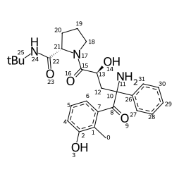 Cc1c(O)cccc1C(=O)C(N)(C[C@H](O)C(=O)N1CCC[C@H]1C(=O)NC(C)(C)C)c1ccccc1